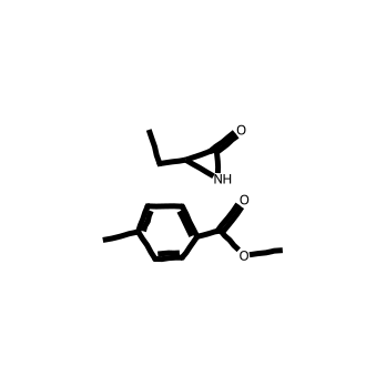 CCC1NC1=O.COC(=O)c1ccc(C)cc1